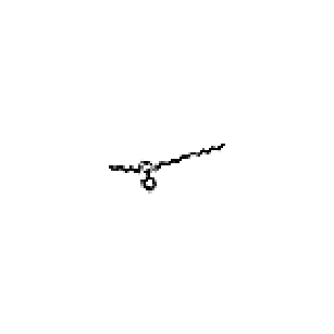 CCCCCCCCCCCCCCN1C=CN(CCCCCC)C1c1ccccc1